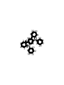 CC12C=CC=CC1N(c1ccccc1)c1cc3c(cc12)C1C=CCCC1N3C1=CCCC=C1